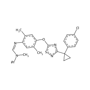 Cc1cc(Oc2nc(C3(c4ccc(Cl)cc4)CC3)ns2)c(C)cc1/N=C\N(C)C(C)C